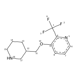 FC(F)(F)c1ncccc1OCC1CCCNC1